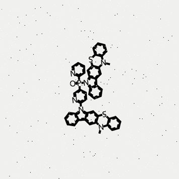 CN1c2ccccc2Sc2cc3c(cc21)c1ccccc1n3-c1ccc(P(=O)(c2ccccn2)n2c3ccccc3c3cc4c(cc32)Sc2ccccc2N4C)cn1